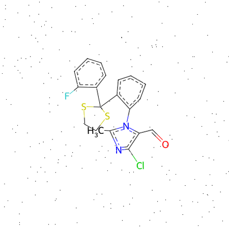 Cc1nc(Cl)c(C=O)n1-c1ccccc1C1(c2ccccc2F)SCCS1